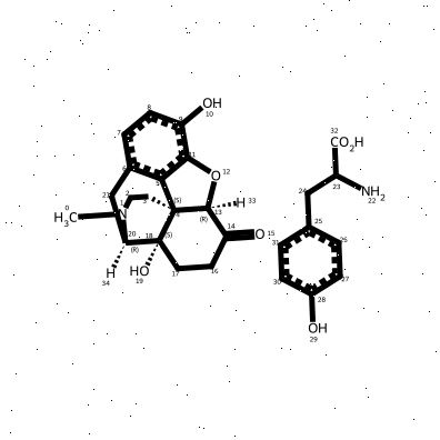 CN1CC[C@]23c4c5ccc(O)c4O[C@H]2C(=O)CC[C@@]3(O)[C@H]1C5.NC(Cc1ccc(O)cc1)C(=O)O